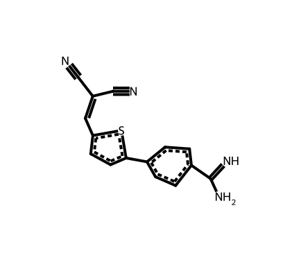 N#CC(C#N)=Cc1ccc(-c2ccc(C(=N)N)cc2)s1